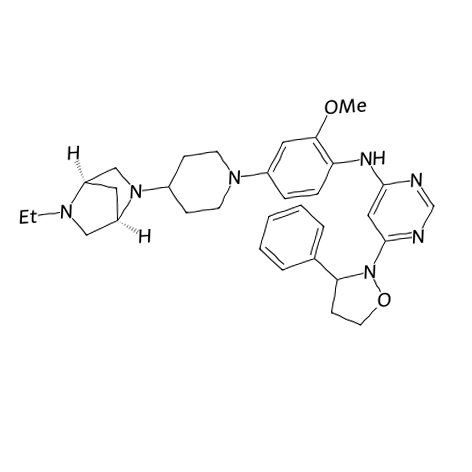 CCN1C[C@H]2C[C@@H]1CN2C1CCN(c2ccc(Nc3cc(N4OCCC4c4ccccc4)ncn3)c(OC)c2)CC1